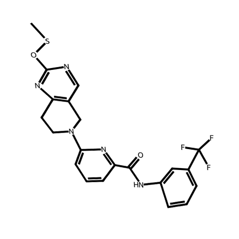 CSOc1ncc2c(n1)CCN(c1cccc(C(=O)Nc3cccc(C(F)(F)F)c3)n1)C2